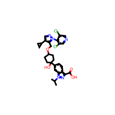 CC(C)n1nc(C(=O)O)c2ccc(C3(O)CCC(OCc4c(C5CC5)cnn4-c4c(Cl)cncc4Cl)CC3)cc21